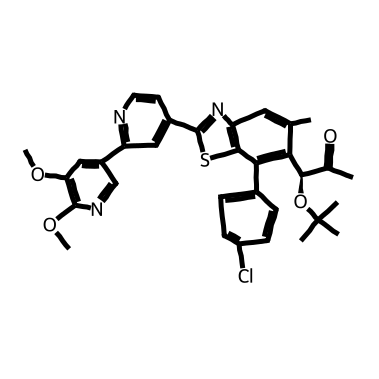 COc1cc(-c2cc(-c3nc4cc(C)c([C@H](OC(C)(C)C)C(C)=O)c(-c5ccc(Cl)cc5)c4s3)ccn2)cnc1OC